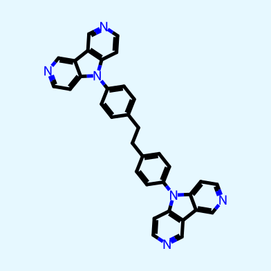 c1cc2c(cn1)c1cnccc1n2-c1ccc(CCc2ccc(-n3c4ccncc4c4cnccc43)cc2)cc1